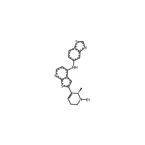 CCN1CCC=C(c2cc3c(Nc4ccc5scnc5c4)ccnc3s2)[C@H]1C